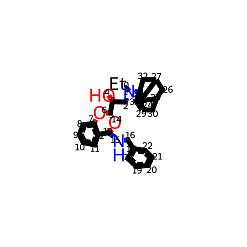 CCN(CC(O)COc1ccccc1C(=O)NCc1ccccc1)C12CC3CC(CC(C3)C1)C2